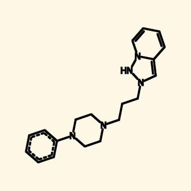 C1=CC2=CN(CCCN3CCN(c4ccccc4)CC3)NN2C=C1